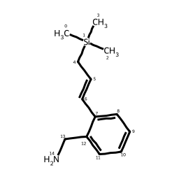 C[Si](C)(C)C/C=C/c1ccccc1CN